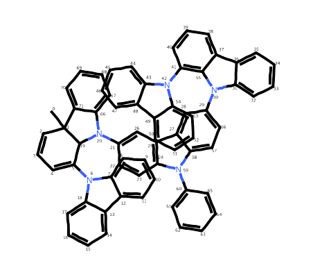 CC12C=CC=C(n3c4ccccc4c4ccccc43)C1N(c1ccc3c(c1)c1cc(-n4c5ccccc5c5cccc(-n6c7ccccc7c7ccccc76)c54)ccc1n3-c1ccccc1)c1ccccc12